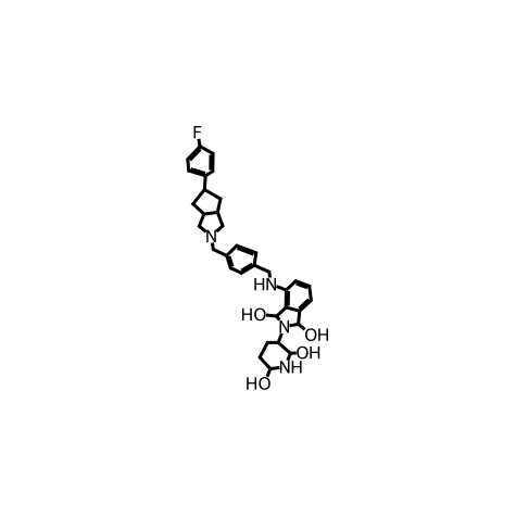 OC1CCC(N2C(O)c3cccc(NCc4ccc(CN5CC6CC(c7ccc(F)cc7)CC6C5)cc4)c3C2O)C(O)N1